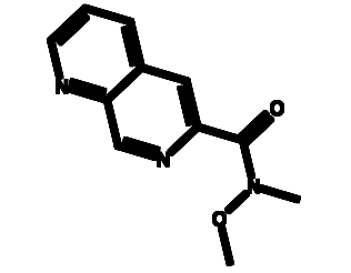 CON(C)C(=O)c1cc2cccnc2cn1